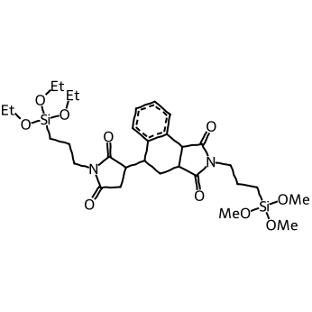 CCO[Si](CCCN1C(=O)CC(C2CC3C(=O)N(CCC[Si](OC)(OC)OC)C(=O)C3c3ccccc32)C1=O)(OCC)OCC